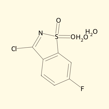 O.O.O=S1(=O)N=C(Cl)c2ccc(F)cc21